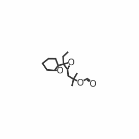 CCC1(C23CCCCC2O3)OC1CC(C)(C)OC=O